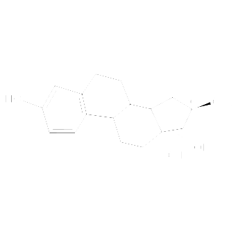 C[C@@H]1CC2C3CCc4cc(O)ccc4C3CC[C@]2(C)[C@H]1O